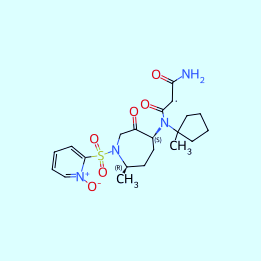 C[C@@H]1CC[C@H](N(C(=O)[CH]C(N)=O)C2(C)CCCC2)C(=O)CN1S(=O)(=O)c1cccc[n+]1[O-]